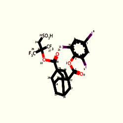 O=C(Oc1c(I)cc(I)cc1I)C12CC3CC(C1)CC(C(=O)OC(CS(=O)(=O)O)(C(F)(F)F)C(F)(F)F)(C3)C2